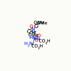 COc1ccc(NC(=O)c2cccc(OC)c2[Se]SC[C@@H](NC(=O)CC[C@@H](N)C(=O)O)C(=O)NCC(=O)O)cc1OC